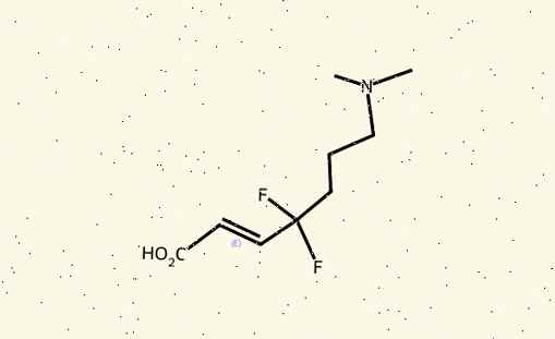 CN(C)CCCC(F)(F)/C=C/C(=O)O